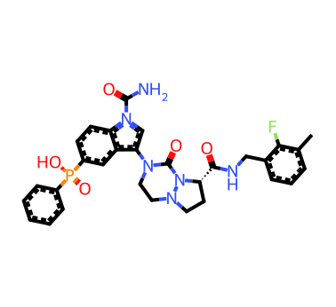 Cc1cccc(CNC(=O)[C@@H]2CCN3CCN(c4cn(C(N)=O)c5ccc(P(=O)(O)c6ccccc6)cc45)C(=O)N23)c1F